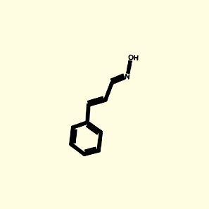 ON=CC=Cc1ccccc1